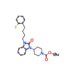 CC(C)(C)OC(=O)N1CCC(n2c(=O)n(CCCCc3ccccc3F)c3ccccc32)CC1